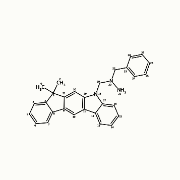 CC1(C)c2ccccc2-c2cc3c4ccccc4n(CN(N)Cc4ccccc4)c3cc21